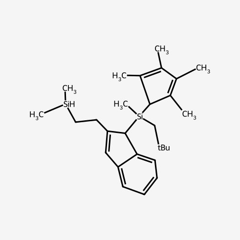 CC1=C(C)C([Si](C)(CC(C)(C)C)C2C(CC[SiH](C)C)=Cc3ccccc32)C(C)=C1C